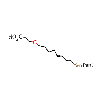 CCCCCSCCC=CCCCCOCCC(=O)O